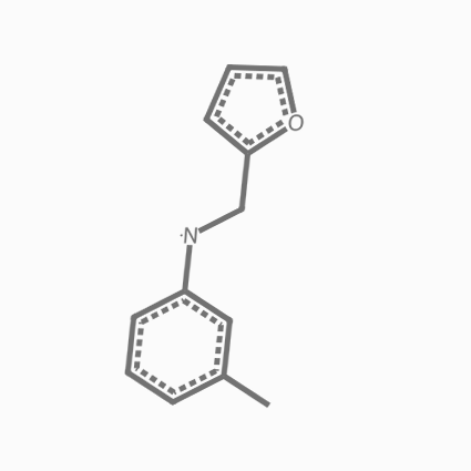 Cc1cccc([N]Cc2ccco2)c1